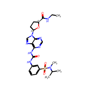 CCNC(=O)[C@@H]1CC[C@H](n2cnc3c(NC(=O)Nc4cccc(S(=O)(=O)N(C)C(C)C)c4)ncnc32)O1